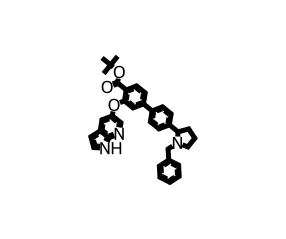 CC(C)(C)OC(=O)c1ccc(-c2ccc(C3CCCN3Cc3ccccc3)cc2)cc1Oc1cnc2[nH]ccc2c1